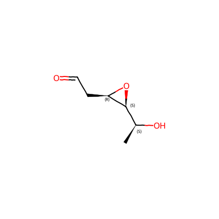 C[C@H](O)[C@@H]1O[C@@H]1CC=O